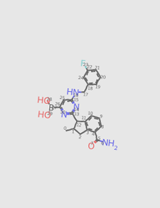 CC1Cc2c(C(N)=O)cccc2C1c1nc(NCc2cccc(F)c2)cc(B(O)O)n1